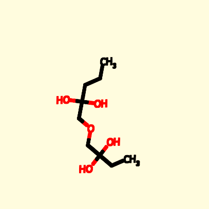 CCCC(O)(O)COCC(O)(O)CC